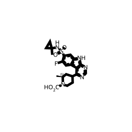 C[C@H]1CC(c2ncnc3[nH]c4cc(S(=O)(=O)NC5(C)CC5)c(F)cc4c23)CCN1C(=O)O